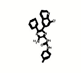 Cc1ccc(NC(=O)Nc2nc(-c3cc(Cl)c4ncccc4c3)c(-c3ccccc3)nc2N)cc1